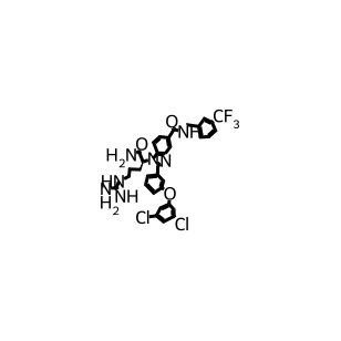 N=C(N)NCCC[C@@H](C(N)=O)n1c(-c2cccc(Oc3cc(Cl)cc(Cl)c3)c2)nc2cc(C(=O)NCc3cccc(C(F)(F)F)c3)ccc21